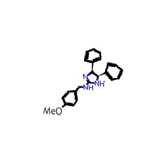 COc1ccc(CNC2=N[C@@H](c3ccccc3)[C@@H](c3ccccc3)N2)cc1